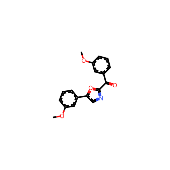 COc1cccc(C(=O)c2ncc(-c3cccc(OC)c3)o2)c1